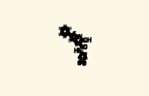 O=C(NC1C=CS(=O)(=O)C1)c1cc2cc(-c3ccccc3)sc2nc1O